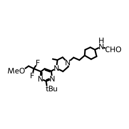 COCC(F)(F)c1cc(N2CCN(CCC3CCC(NC=O)CC3)CC2C)nc(C(C)(C)C)n1